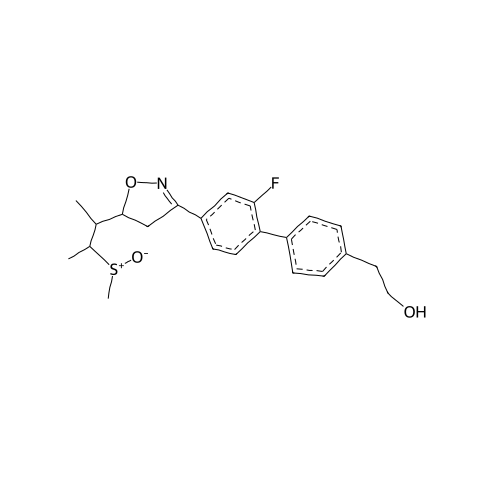 CC(C1CC(c2ccc(-c3ccc(CCO)cc3)c(F)c2)=NO1)C(C)[S+](C)[O-]